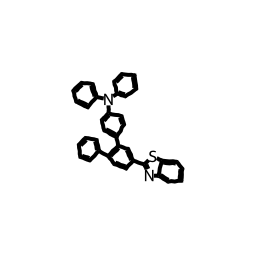 c1ccc(-c2ccc(-c3nc4ccccc4s3)cc2-c2ccc(N(c3ccccc3)c3ccccc3)cc2)cc1